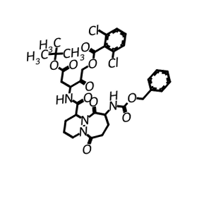 CC(C)(C)OC(=O)CC(NC(=O)C1CCCN2C(=O)CCC(NC(=O)OCc3ccccc3)C(=O)N12)C(=O)COC(=O)c1c(Cl)cccc1Cl